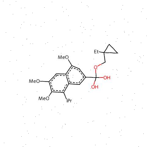 CCC1(COC(O)(O)c2cc(OC)c3cc(OC)c(OC)c(C(C)C)c3c2)CC1